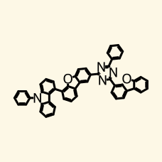 c1ccc(-c2nc(-c3ccc4oc5c(-c6cccc7c6c6ccccc6n7-c6ccccc6)cccc5c4c3)nc(-c3cccc4c3oc3ccccc34)n2)cc1